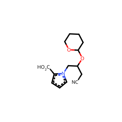 N#CCC(Cn1cccc1C(=O)O)OC1CCCCO1